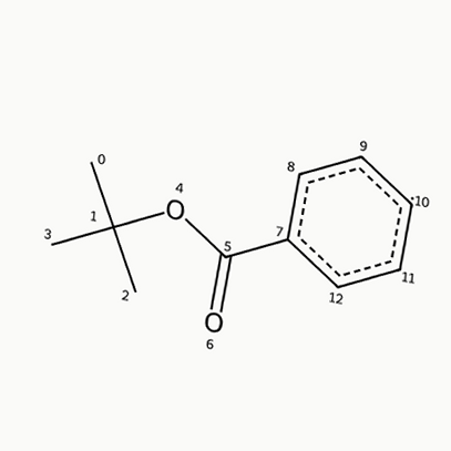 CC(C)(C)OC(=O)c1cc[c]cc1